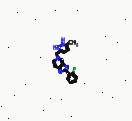 CC1=CC=C(Cn2ccc3nc(-c4ccccc4F)nc-3c2)NN1